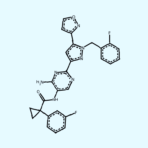 Nc1nc(-c2cc(-c3ccon3)n(Cc3ccccc3F)n2)ncc1NC(=O)C1(c2cccc(F)c2)CC1